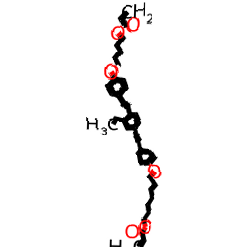 C=CC(=O)OCCCCCCCOc1ccc(C#Cc2ccc(C#Cc3ccc(OCCCCCOC(=O)C=C)cc3)c(CC)c2)cc1